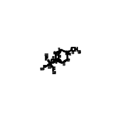 CN1CC2C(=O)CC1CC2C(F)(F)F